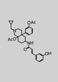 CC(=O)Oc1cccc(C23CCN(CC4CC4)CC2(OC(C)=O)CCC(NC(=O)/C=C/c2cccc(O)c2)C3)c1